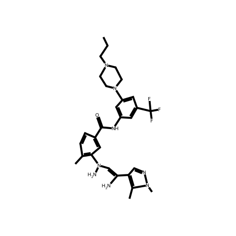 CCCN1CCN(c2cc(NC(=O)c3ccc(C)c(N(N)/C=C(\N)c4cnn(C)c4C)c3)cc(C(F)(F)F)c2)CC1